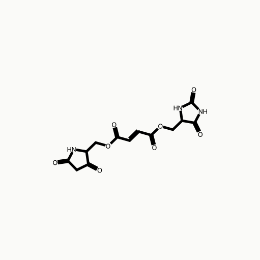 O=C1CC(=O)C(COC(=O)/C=C/C(=O)OCC2NC(=O)NC2=O)N1